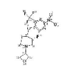 O=[N+]([O-])c1ccc(OC2CCN(C3COC3)C[C@H]2F)c(C(F)(F)F)c1